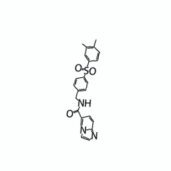 Cc1ccc(S(=O)(=O)c2ccc(CNC(=O)c3ccc4nccn4c3)cc2)cc1C